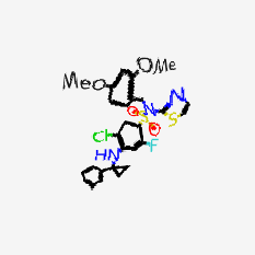 COc1ccc(CN(c2nccs2)S(=O)(=O)c2cc(Cl)c(NC3(c4ccccc4)CC3)cc2F)c(OC)c1